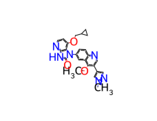 COc1c(-c2cnn(C)c2)cnc2ccc(-n3c(=O)[nH]c4nccc(OCC5CC5)c43)cc12